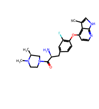 C[C@H]1CN(C(=O)[C@@H](N)Cc2ccc(Oc3ccnc4[nH]cc(C#N)c34)c(F)c2)CCN1C